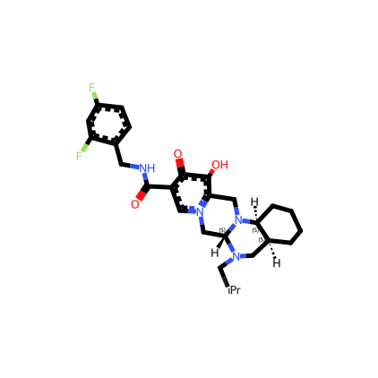 CC(C)CN1C[C@@H]2CCCC[C@@H]2N2Cc3c(O)c(=O)c(C(=O)NCc4ccc(F)cc4F)cn3C[C@@H]12